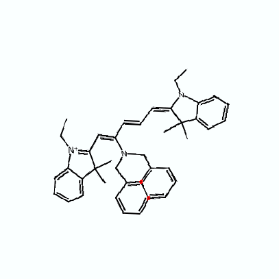 CCN1/C(=C/C=C/C(=C/C2=[N+](CC)c3ccccc3C2(C)C)N(Cc2ccccc2)Cc2ccccc2)C(C)(C)c2ccccc21